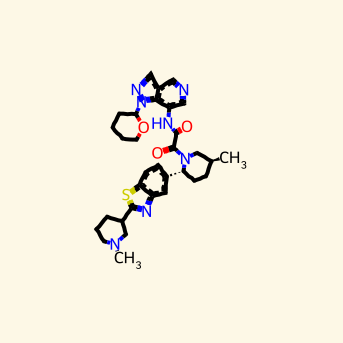 C[C@H]1CC[C@H](c2ccc3sc(C4CCCN(C)C4)nc3c2)N(C(=O)C(=O)Nc2cncc3cnn(C4CCCCO4)c23)C1